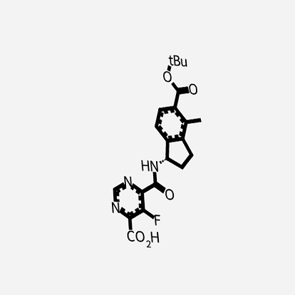 Cc1c(C(=O)OC(C)(C)C)ccc2c1CC[C@@H]2NC(=O)c1ncnc(C(=O)O)c1F